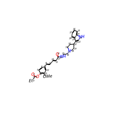 CCC(=O)Oc1ccc(C=CC=CC(=O)NCCN2CCC(c3c[nH]c4ccccc34)CC2)cc1OC